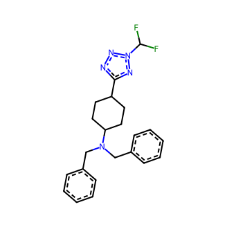 FC(F)n1nnc(C2CCC(N(Cc3ccccc3)Cc3ccccc3)CC2)n1